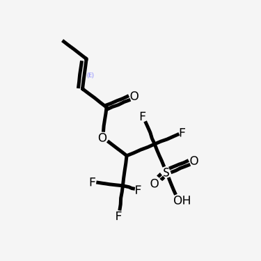 C/C=C/C(=O)OC(C(F)(F)F)C(F)(F)S(=O)(=O)O